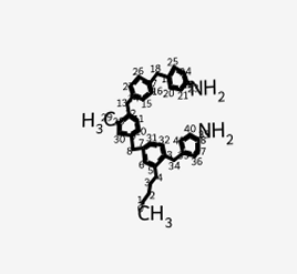 CCCCCc1cc(Cc2ccc(Cc3ccc(Cc4ccc(N)cc4)cc3)c(C)c2)ccc1Cc1ccc(N)cc1